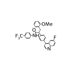 COc1ccccc1CC(C(=O)Nc1ccc(C(F)(F)F)cc1)c1ccc(-c2ccnc3ccc(F)cc23)cc1